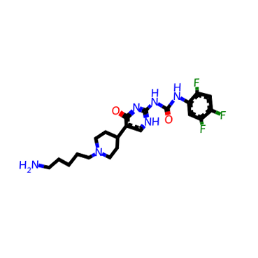 NCCCCCN1CCC(c2c[nH]c(NC(=O)Nc3cc(F)c(F)cc3F)nc2=O)CC1